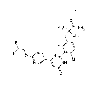 CC(C)(Cc1ccc(Cl)c(-c2nc(-c3ccc(OCC(F)F)nc3)cc(=O)[nH]2)c1F)C(N)=O